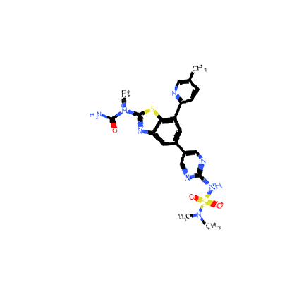 CCN(C(N)=O)c1nc2cc(-c3cnc(NS(=O)(=O)N(C)C)nc3)cc(-c3ccc(C)cn3)c2s1